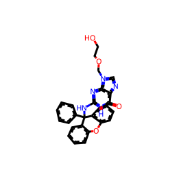 O=c1[nH]c(NC2(c3ccccc3)c3ccccc3Oc3ccccc32)nc2c1ncn2COCCO